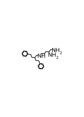 NCC(N)CCCNCC(CCc1ccccc1)CCc1ccccc1